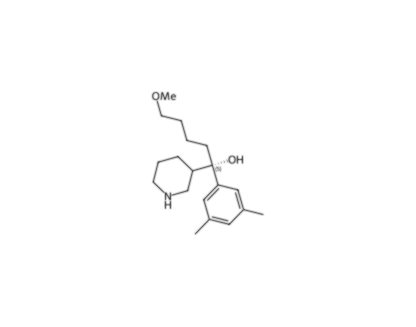 COCCCC[C@@](O)(c1cc(C)cc(C)c1)C1CCCNC1